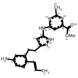 C/C=C/c1ccc(N)cc1CCc1cc(Nc2cc(C(=O)OC)nc(C)n2)[nH]n1